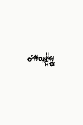 c1ccc(Sc2cnc(N3CCN(c4ncnc(Nc5cnn(C[C@@H]6CNCCO6)c5)n4)CC3)nc2)cc1